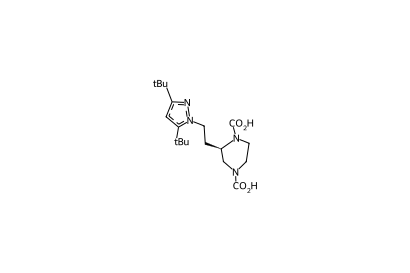 CC(C)(C)c1cc(C(C)(C)C)n(CC[C@@H]2CN(C(=O)O)CCN2C(=O)O)n1